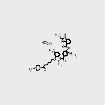 COc1cc(C(=O)N(C)c2ccc(C)cc2OCCCCCC(=O)N2CCN(C)CC2)ccc1NC(=O)c1cccc2[nH]c(SC)nc12.Cl.Cl